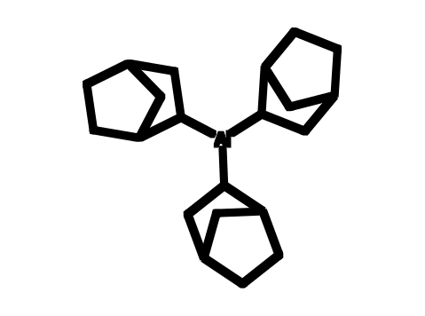 C1CC2CC1C[CH]2[Al]([CH]1CC2CCC1C2)[CH]1CC2CCC1C2